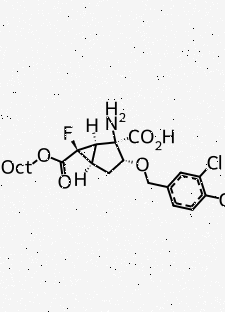 CCCCCCCCOC(=O)[C@@]1(F)[C@@H]2C[C@@H](OCc3ccc(Cl)c(Cl)c3)[C@@](N)(C(=O)O)[C@@H]21